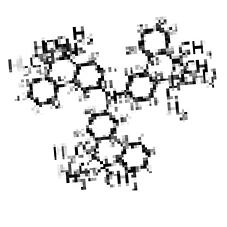 CC1(C)c2ccccc2-c2cc(N(c3ccc4c(c3)-c3ccccc3C(C)(C)C4(C)C)c3ccc4c(c3)-c3ccccc3C(C)(C)C4(C)C)ccc2C1(C)C